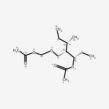 CC[C@H](OC(C)=O)[C@H](COCOC(C)=O)[C@@H](C)CC